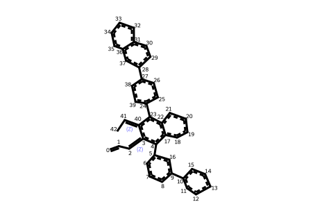 C=C/C=c1/c(-c2cccc(-c3ccccc3)c2)c2ccccc2c(-c2ccc(-c3ccc4ccccc4c3)cc2)/c1=C/C